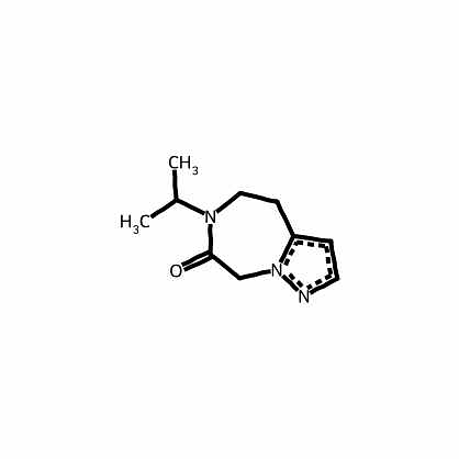 CC(C)N1CCc2ccnn2CC1=O